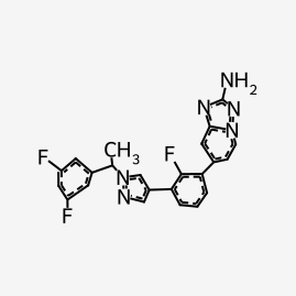 CC(c1cc(F)cc(F)c1)n1cc(-c2cccc(-c3ccn4nc(N)nc4c3)c2F)cn1